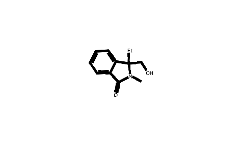 CCC1(CO)c2ccccc2C(=O)N1C